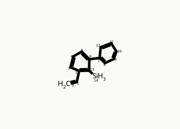 C=Cc1cccc(-c2ccccc2)c1[SiH3]